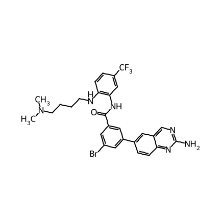 CN(C)CCCCNc1ccc(C(F)(F)F)cc1NC(=O)c1cc(Br)cc(-c2ccc3nc(N)ncc3c2)c1